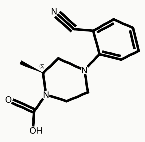 C[C@H]1CN(c2ccccc2C#N)CCN1C(=O)O